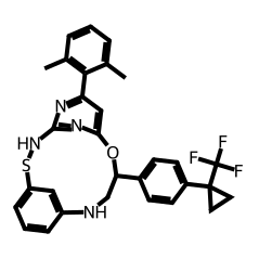 Cc1cccc(C)c1-c1cc2nc(n1)NSc1cccc(c1)NCC(c1ccc(C3(C(F)(F)F)CC3)cc1)O2